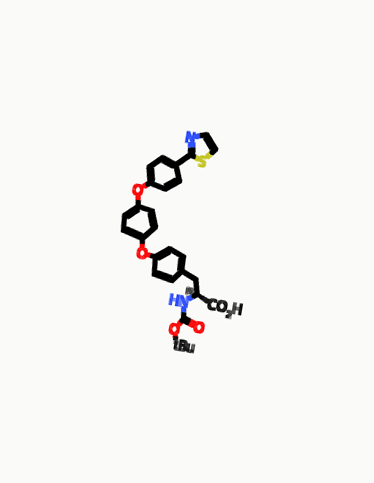 CC(C)(C)OC(=O)N[C@@H](Cc1ccc(Oc2ccc(Oc3ccc(-c4nccs4)cc3)cc2)cc1)C(=O)O